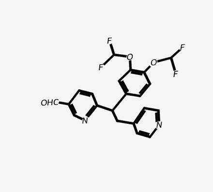 O=Cc1ccc(C(Cc2ccncc2)c2ccc(OC(F)F)c(OC(F)F)c2)nc1